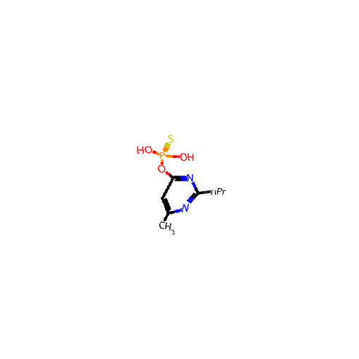 CCCc1nc(C)cc(OP(O)(O)=S)n1